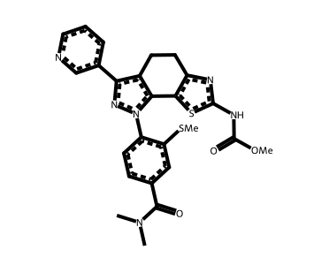 COC(=O)Nc1nc2c(s1)-c1c(c(-c3cccnc3)nn1-c1ccc(C(=O)N(C)C)cc1SC)CC2